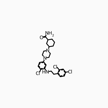 NC(=O)C1CCCC(N2CCN(c3ccc(Cl)c(NCCc4ccc(Cl)cc4Cl)c3)CC2)C1